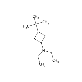 CCN(CC)C1CC(C(C)(C)C)C1